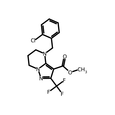 COC(=O)c1c(C(F)(F)F)nn2c1N(Cc1ccccc1Cl)CCC2